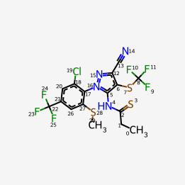 CCC(=S)Nc1c(SC(F)(F)F)c(C#N)nn1-c1c(Cl)cc(C(F)(F)F)cc1SC